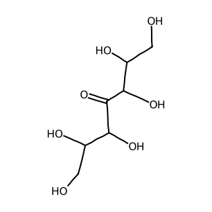 O=C(C(O)C(O)CO)C(O)C(O)CO